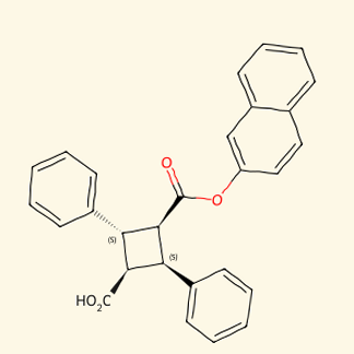 O=C(O)[C@H]1[C@H](c2ccccc2)[C@@H](C(=O)Oc2ccc3ccccc3c2)[C@H]1c1ccccc1